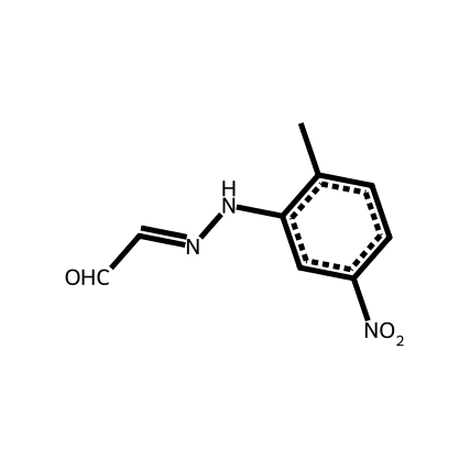 Cc1ccc([N+](=O)[O-])cc1NN=CC=O